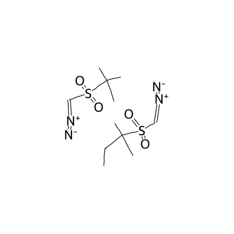 CC(C)(C)S(=O)(=O)C=[N+]=[N-].CCC(C)(C)S(=O)(=O)C=[N+]=[N-]